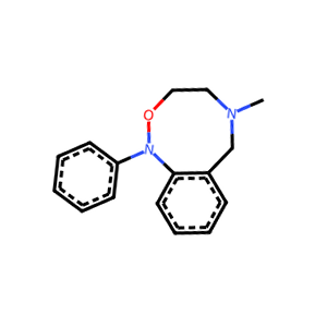 CN1CCON(c2ccccc2)c2ccccc2C1